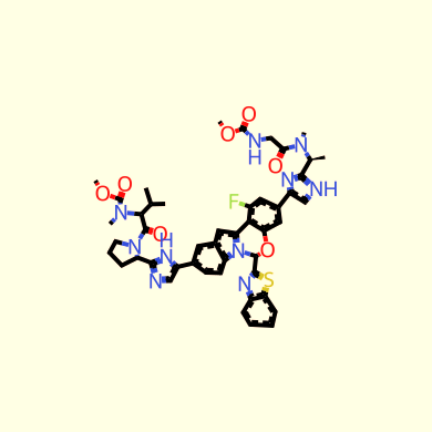 COC(=O)NCC(=O)N(C)[C@@H](C)c1nc(-c2cc(F)c3c(c2)OC(c2nc4ccccc4s2)n2c-3cc3cc(-c4cnc(C5CCCN5C(=O)C(C(C)C)N(C)C(=O)OC)[nH]4)ccc32)c[nH]1